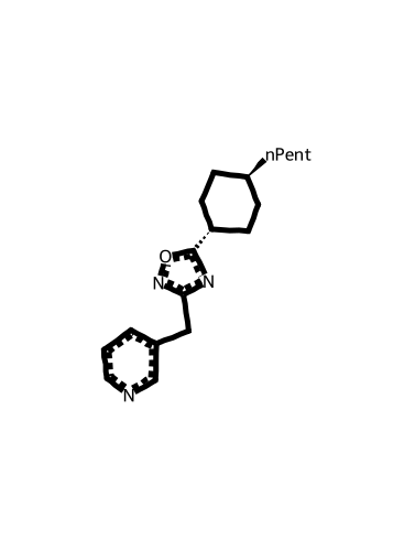 CCCCC[C@H]1CC[C@H](c2nc(Cc3cccnc3)no2)CC1